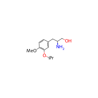 COc1ccc(C[C@H](N)CO)cc1OC(C)C